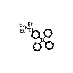 CC[N+](CC)(CC)CC.c1ccc([B-](c2ccccc2)(c2ccccc2)c2ccccc2)cc1